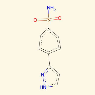 NS(=O)(=O)c1ccc(-c2cc[nH]n2)cc1